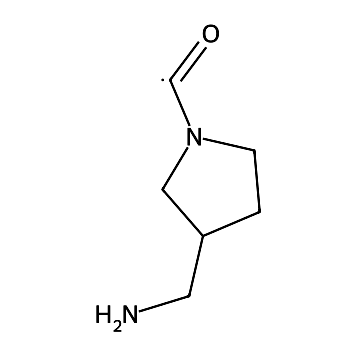 NCC1CCN([C]=O)C1